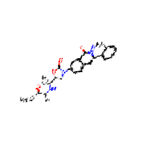 COC(=O)C(NC(C)C1CN(c2ccc3cc(-c4ccccc4C(F)(F)F)[nH]c(=O)c3c2)C(=O)O1)C(C)C